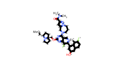 CCc1c(F)ccc2cc(O)cc(-c3ncc4c(N5CCCn6nc(C(=O)N(C)C)cc6C5)nc(OC[C@@]56CCCN5[C@H](COC)CC6)nc4c3F)c12